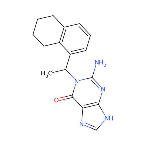 CC(c1cccc2c1CCCC2)n1c(N)nc2[nH]cnc2c1=O